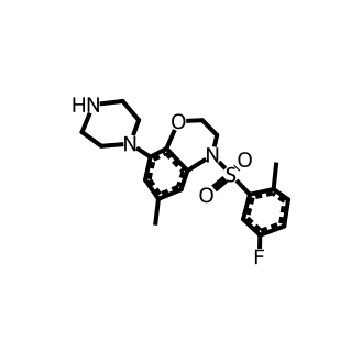 Cc1cc(N2CCNCC2)c2c(c1)N(S(=O)(=O)c1cc(F)ccc1C)CCO2